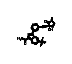 CN1CC[C@@](O)(C#Cc2cccc(-c3nc(C(N)=O)c4ccc(C(F)(F)F)cn34)c2)C1=O